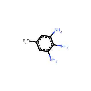 Nc1cc(C(F)(F)F)cc(N)c1N